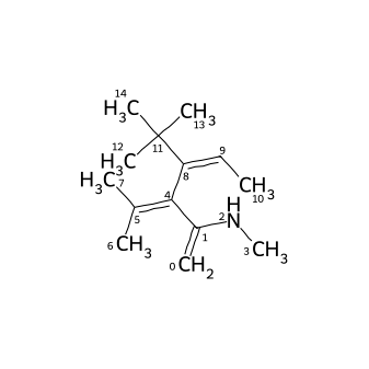 C=C(NC)C(=C(C)C)/C(=C\C)C(C)(C)C